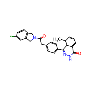 CC1C=CC=C2C(=O)NN=C(c3ccc(CC(=O)N4Cc5ccc(F)cc5C4)cc3)C21